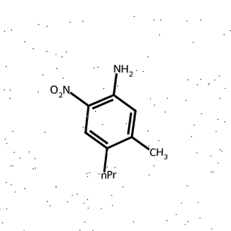 CCCc1cc([N+](=O)[O-])c(N)cc1C